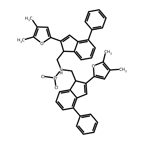 Cc1cc(C2=Cc3c(-c4ccccc4)cccc3C2C[SiH](CC2C(c3cc(C)c(C)o3)=Cc3c(-c4ccccc4)cccc32)[Zr]([Cl])[Cl])oc1C